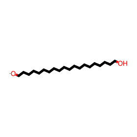 [O]CCCCCCCCCCCCCCCCCCCCO